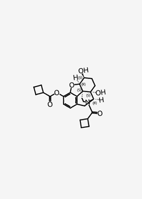 O=C(Oc1ccc2c3c1O[C@H]1[C@@H](O)CC[C@@]4(O)[C@@H](C2)N(C(=O)C2CCC2)CC[C@]314)C1CCC1